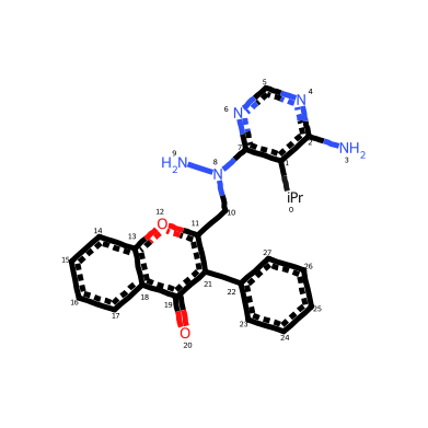 CC(C)c1c(N)ncnc1N(N)Cc1oc2ccccc2c(=O)c1-c1ccccc1